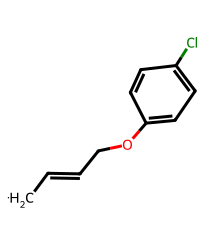 [CH2]C=CCOc1ccc(Cl)cc1